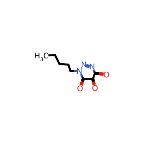 CCCCCN1N=NC(=O)C(=O)C1=O